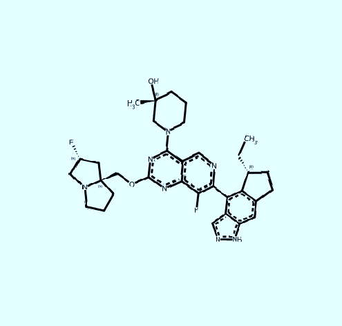 CC[C@@H]1CCc2cc3[nH]ncc3c(-c3ncc4c(N5CCC[C@@](C)(O)C5)nc(OC[C@@]56CCCN5C[C@H](F)C6)nc4c3F)c21